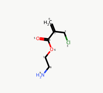 C=C(CCl)C(=O)OCCN